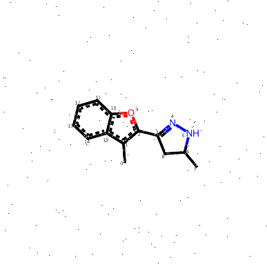 Cc1c(C2=NNC(C)C2)oc2ccccc12